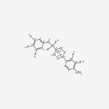 Cc1ccc(C23COC(C(F)(F)Oc4cc(F)c(F)c(F)c4)(OC2)OC3)c(F)c1F